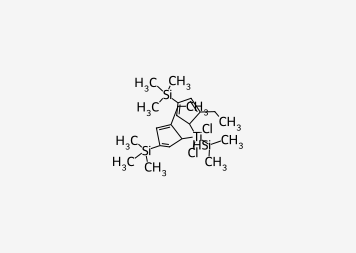 CCC1=CC([Si](C)(C)C)=C[CH]1[Ti]([Cl])([Cl])([CH]1C=C([Si](C)(C)C)C=C1CC)[SiH](C)C